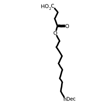 CCCCCCCCCCCCCCCCCCOC(=O)CCC(=O)O